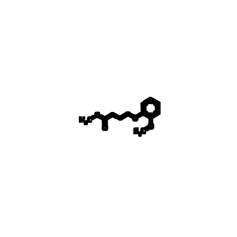 COC(=O)CCCOc1ccccc1OC